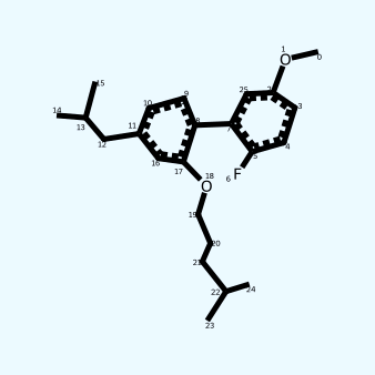 COc1ccc(F)c(-c2ccc(CC(C)C)cc2OCCCC(C)C)c1